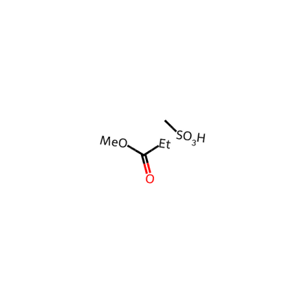 CCC(=O)OC.CS(=O)(=O)O